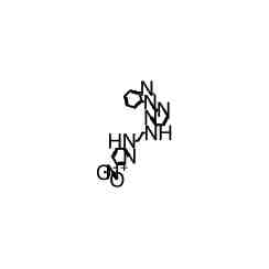 O=[N+]([O-])c1ccc(NCCNc2ccnc(-n3cnc4ccccc43)n2)nc1